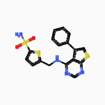 NS(=O)(=O)c1ccc(CNc2ncnc3scc(-c4ccccc4)c23)s1